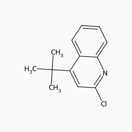 CC(C)(C)c1cc(Cl)nc2ccccc12